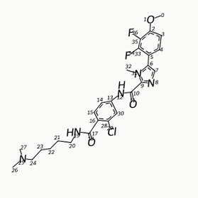 COc1ccc(-c2cnc(C(=O)Nc3ccc(C(=O)NCCCCCN(C)C)c(Cl)c3)n2C)c(F)c1F